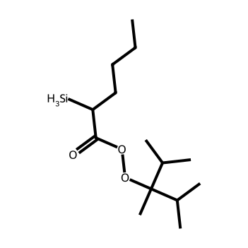 CCCCC([SiH3])C(=O)OOC(C)(C(C)C)C(C)C